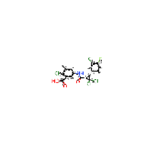 Cc1cc(NC(=O)[C@H]2[C@H](c3ccc(F)c(Cl)c3)C2(Cl)Cl)cc(C(=O)O)c1Cl